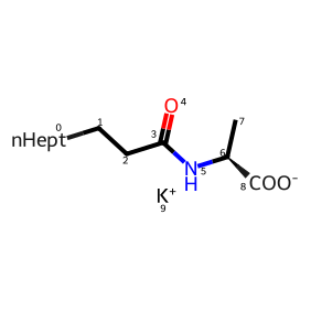 CCCCCCCCCC(=O)N[C@@H](C)C(=O)[O-].[K+]